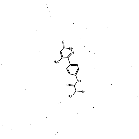 Cc1cc(=O)[nH]nc1-c1ccc(NC(=O)C(C)Br)cc1